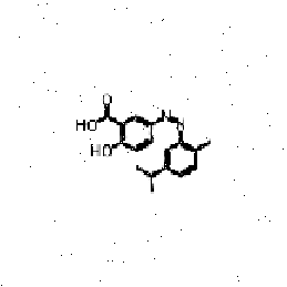 Cc1ccc(C(C)C)cc1/N=N\c1ccc(O)c(C(=O)O)c1